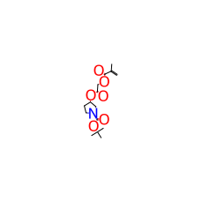 C=C(C)C(=O)OCC(=O)OC1CCN(C(=O)OC(C)(C)C)C1